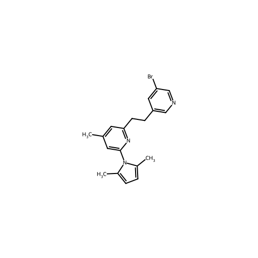 Cc1cc(CCc2cncc(Br)c2)nc(-n2c(C)ccc2C)c1